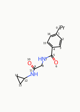 CC(C)c1ccc(C(=O)NCC(=O)NC2CC2)cc1